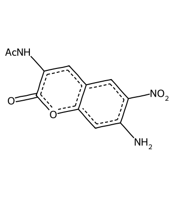 CC(=O)Nc1cc2cc([N+](=O)[O-])c(N)cc2oc1=O